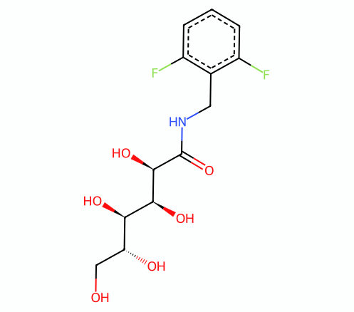 O=C(NCc1c(F)cccc1F)[C@H](O)[C@@H](O)[C@H](O)[C@H](O)CO